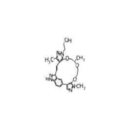 Cc1nn(CCO)c2c1/C=C/c1n[nH]c3ccc(cc13)-c1cnn(C)c1OCCOC(C)CO2